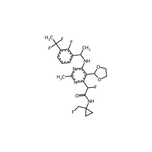 Cc1nc(NC(C)c2cccc(C(C)(F)F)c2F)c(C2OCCO2)c(C(F)C(=O)NC2(CF)CC2)n1